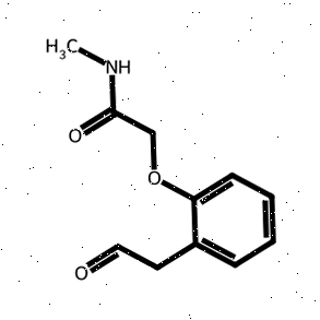 CNC(=O)COc1ccccc1CC=O